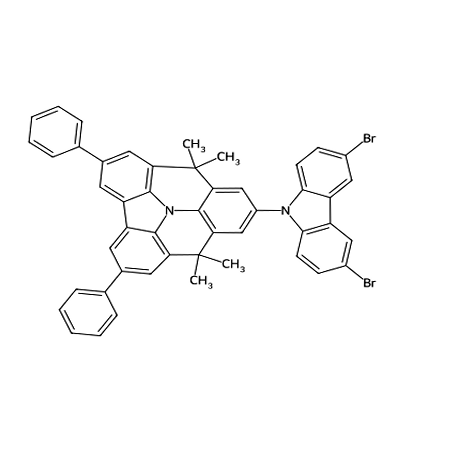 CC1(C)c2cc(-n3c4ccc(Br)cc4c4cc(Br)ccc43)cc3c2-n2c4c1cc(-c1ccccc1)cc4c1cc(-c4ccccc4)cc(c12)C3(C)C